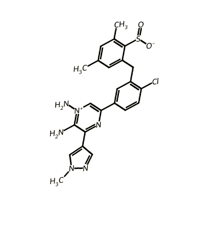 Cc1cc(C)c(S(=O)[O-])c(Cc2cc(-c3c[n+](N)c(N)c(-c4cnn(C)c4)n3)ccc2Cl)c1